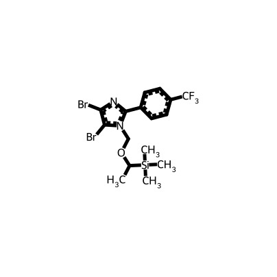 CC(OCn1c(-c2ccc(C(F)(F)F)cc2)nc(Br)c1Br)[Si](C)(C)C